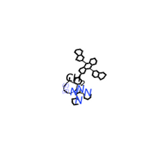 C=C1/C=C\C=C/Cn2c(nc(-c3ccccn3)c2-c2ccccn2)-c2ccc(-c3ccc4c(-c5ccc6ccccc6c5)c5ccccc5c(-c5ccc6ccccc6c5)c4c3)cc21